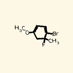 COC1=CC=C(Br)C(C)(F)C1